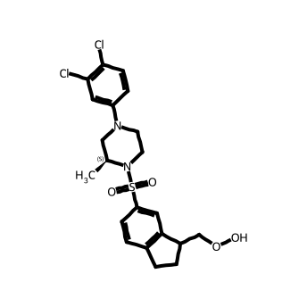 C[C@H]1CN(c2ccc(Cl)c(Cl)c2)CCN1S(=O)(=O)c1ccc2c(c1)C(COO)CC2